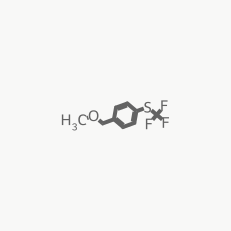 COCc1ccc(SC(F)(F)F)cc1